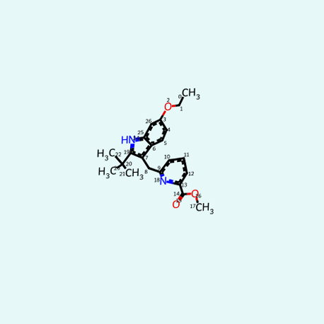 CCOc1ccc2c(Cc3cccc(C(=O)OC)n3)c(C(C)(C)C)[nH]c2c1